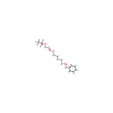 CC(C)(C)[Si](C)(C)OCCOCCCCCCOCc1ccccc1